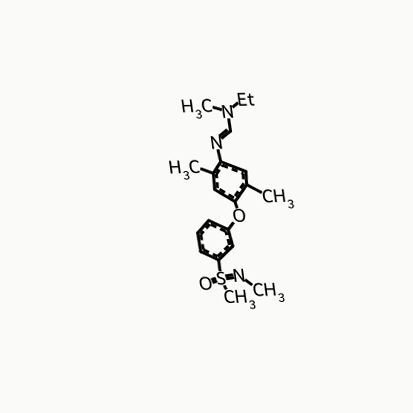 CCN(C)C=Nc1cc(C)c(Oc2cccc(S(C)(=O)=NC)c2)cc1C